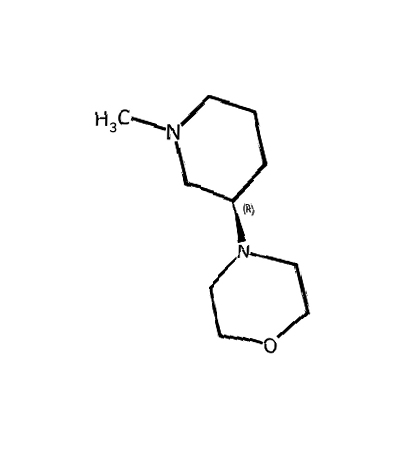 CN1CCC[C@@H](N2CCOCC2)C1